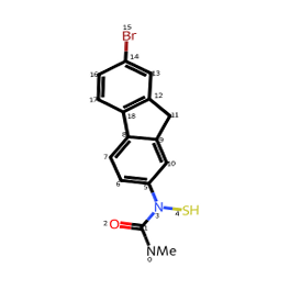 CNC(=O)N(S)c1ccc2c(c1)Cc1cc(Br)ccc1-2